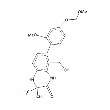 COCOc1ccc(-c2ccc3c(c2CO)NC(=O)C(C)(C)N3)c(OC)c1